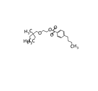 CCCCc1ccc(S(=O)(=O)OCCOCC(C)(CC)CC)cc1